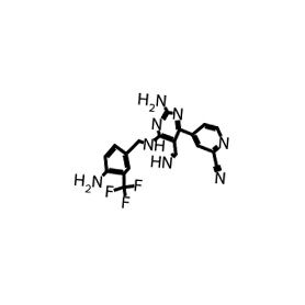 N#Cc1cc(-c2nc(N)nc(NCc3ccc(N)c(C(F)(F)F)c3)c2C=N)ccn1